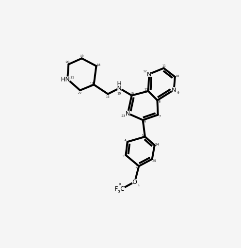 FC(F)(F)Oc1ccc(-c2cc3nccnc3c(NCC3CCCNC3)n2)cc1